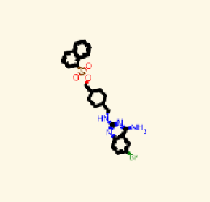 Nc1nc(NCC2CCC(COS(=O)(=O)c3cccc4ccccc34)CC2)nc2ccc(Br)cc12